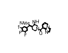 CN/C(=C1/CCN(C(=O)c2cccn3ccnc23)CC1=N)c1cc(F)c(F)c(F)c1